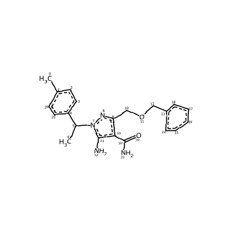 Cc1ccc(C(C)n2nc(COCc3ccccc3)c(C(N)=O)c2N)cc1